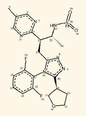 Cc1cnc([C@H](Cc2nnc([C@H]3CCOC3)n2-c2c(F)cccc2F)[C@@H](C)N[SH](=O)=O)nc1